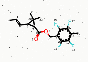 CC=CC1C(C(=O)OCc2c(F)c(F)c(C)c(F)c2F)C1(C)C